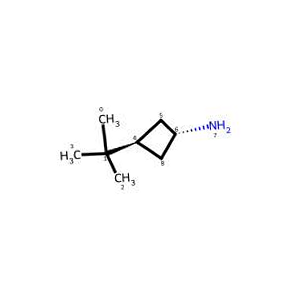 CC(C)(C)[C@H]1C[C@H](N)C1